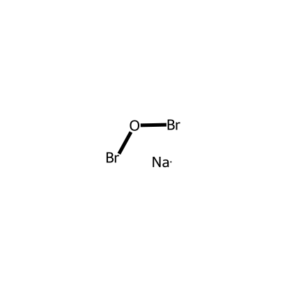 BrOBr.[Na]